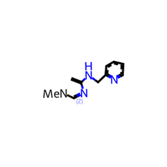 C=C(/N=C\NC)NCc1ccccn1